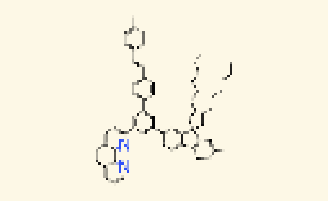 CCCCCCCCC1(CCCCCCCC)c2cc(C)ccc2-c2ccc(-c3cc(-c4ccc(/C=C/c5ccc(C)cc5)cc4)cc(-c4ccc5ccc6cccnc6c5n4)c3)cc21